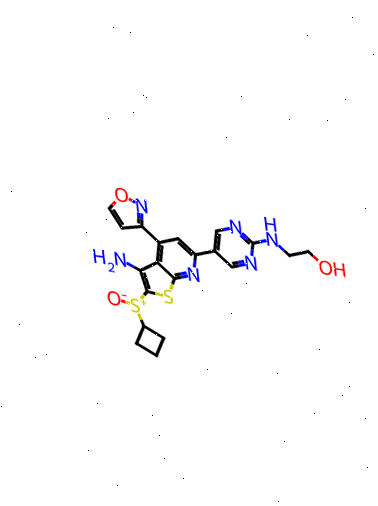 Nc1c([S+]([O-])C2CCC2)sc2nc(-c3cnc(NCCO)nc3)cc(-c3ccon3)c12